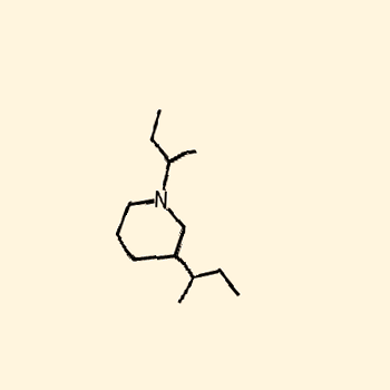 CCC(C)C1CCCN(C(C)CC)C1